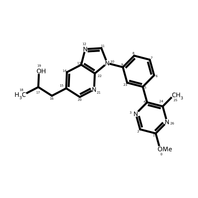 COc1cnc(-c2cccc(-n3cnc4cc(CC(C)O)cnc43)c2)c(C)n1